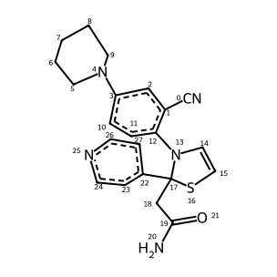 N#Cc1cc(N2CCCCC2)ccc1N1C=CSC1(CC(N)=O)c1ccncc1